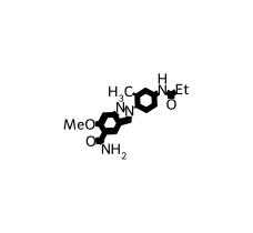 CCC(=O)NC1CC[C@H](n2cc3cc(C(N)=O)c(OC)cc3n2)[C@@H](C)C1